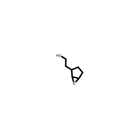 OCCC1CCC2OC12